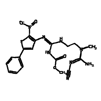 COC(=O)NC(=Nc1cc(-c2ccccc2)sc1[N+](=O)[O-])NCCN(C)C(N)=NC#N